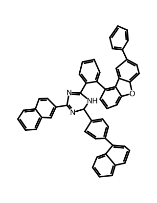 c1ccc(-c2ccc3oc4cccc(-c5ccccc5C5=NC(c6ccc7ccccc7c6)=NC(c6ccc(-c7cccc8ccccc78)cc6)N5)c4c3c2)cc1